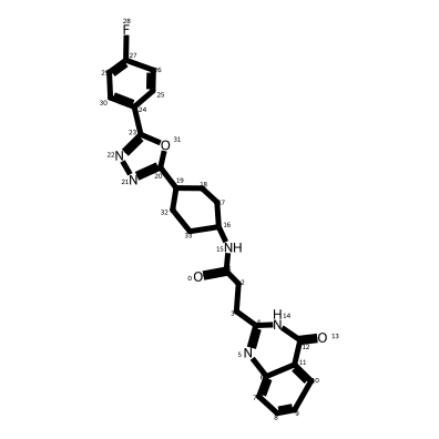 O=C(CCc1nc2ccccc2c(=O)[nH]1)NC1CCC(c2nnc(-c3ccc(F)cc3)o2)CC1